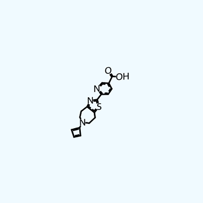 O=C(O)c1ccc(-c2nc3c(s2)CCN(C2=CC=C2)CC3)nc1